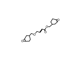 O=C(/C=C/COCC1CCC2OC2C1)OCC1CCC2OC2C1